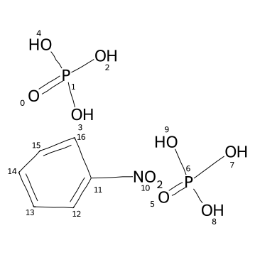 O=P(O)(O)O.O=P(O)(O)O.O=[N+]([O-])c1ccccc1